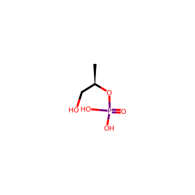 C[C@H](CO)OP(=O)(O)O